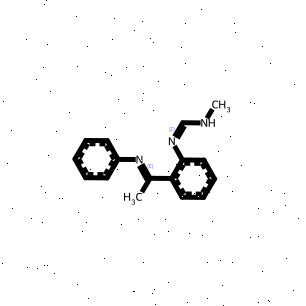 CN/C=N\c1ccccc1/C(C)=N/c1ccccc1